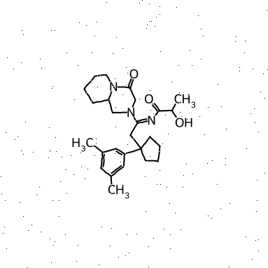 Cc1cc(C)cc(C2(C/C(=N/C(=O)C(C)O)N3CC(=O)N4CCCCC4C3)CCCC2)c1